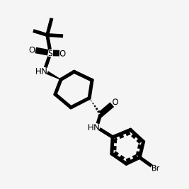 CC(C)(C)S(=O)(=O)N[C@H]1CC[C@H](C(=O)Nc2ccc(Br)cc2)CC1